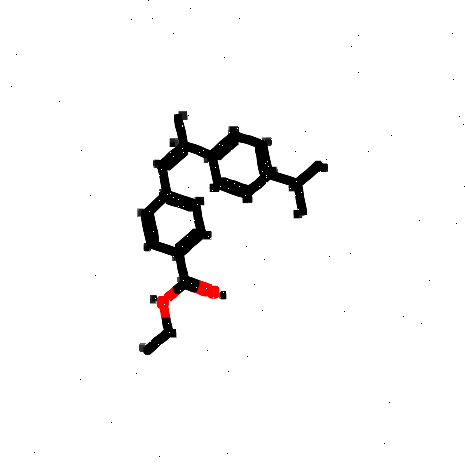 CCOC(=O)c1ccc(C=C(C)c2ccc(C(C)C)cc2)cc1